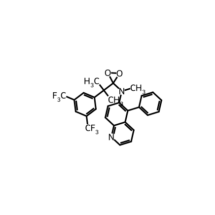 CN(c1ccc2ncccc2c1-c1ccccc1)C1(C(C)(C)c2cc(C(F)(F)F)cc(C(F)(F)F)c2)OO1